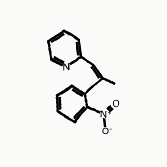 CC(=Cc1ccccn1)c1ccccc1[N+](=O)[O-]